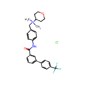 C[N+](C)(Cc1ccc(NC(=O)c2cccc(-c3ccc(C(F)(F)F)cc3)c2)cc1)C1CCOCC1.[Cl-]